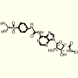 CCCN(CCC)S(=O)(=O)c1ccc(NC(=O)Nc2ncnc3c2ncn3[C@@H]2O[C@H](C(=O)NCC)[C@@H](O)[C@H]2O)cc1